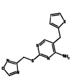 Nc1nc(SCc2ncon2)ncc1Cc1cccs1